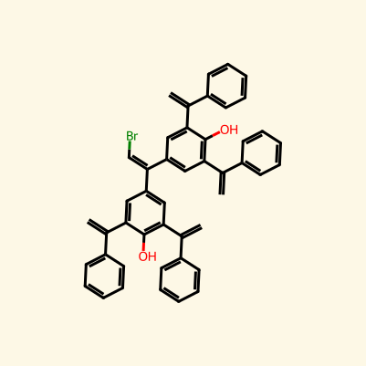 C=C(c1ccccc1)c1cc(C(=CBr)c2cc(C(=C)c3ccccc3)c(O)c(C(=C)c3ccccc3)c2)cc(C(=C)c2ccccc2)c1O